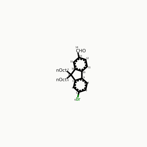 CCCCCCCCC1(CCCCCCCC)c2cc(Br)ccc2-c2ccc(C=O)cc21